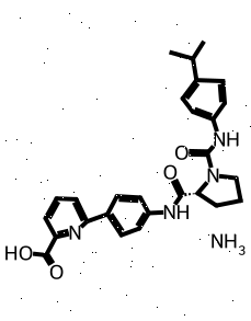 CC(C)c1ccc(NC(=O)N2CCC[C@@H]2C(=O)Nc2ccc(-c3cccc(C(=O)O)n3)cc2)cc1.N